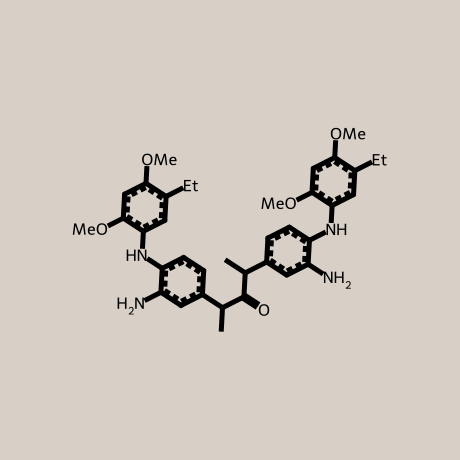 CCc1cc(Nc2ccc(C(C)C(=O)C(C)c3ccc(Nc4cc(CC)c(OC)cc4OC)c(N)c3)cc2N)c(OC)cc1OC